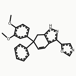 COc1ccc(C2(c3ccccc3)C=Cc3c(-c4cnco4)n[nH]c3C2)cc1OC